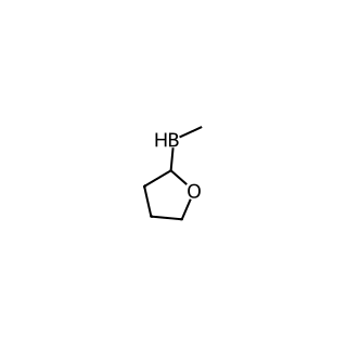 CBC1CCCO1